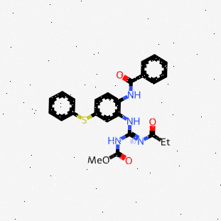 CCC(=O)/N=C(/NC(=O)OC)Nc1cc(Sc2ccccc2)ccc1NC(=O)c1ccccc1